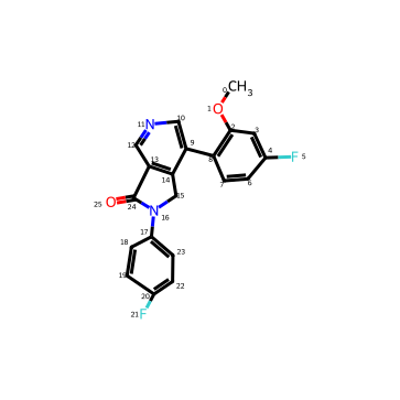 COc1cc(F)ccc1-c1cncc2c1CN(c1ccc(F)cc1)C2=O